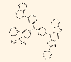 CC1(C)c2ccccc2-c2cc(N(c3ccc(-c4c5oc(-c6ccccc6)nc5cc5oc6ccccc6c45)cc3)c3cccc(-c4cccc5ccccc45)c3)ccc21